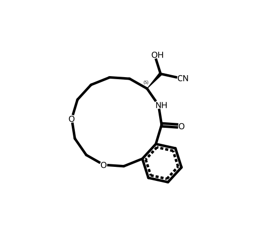 N#CC(O)[C@@H]1CCCCOCCOCc2ccccc2C(=O)N1